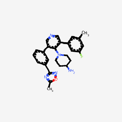 Cc1cc(F)cc(-c2cncc(-c3cccc(-c4noc(C)n4)c3)c2N2CCC(N)CC2)c1